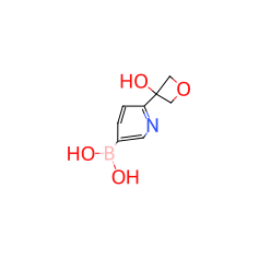 OB(O)c1ccc(C2(O)COC2)nc1